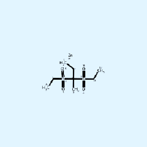 CCC(C)(S(=O)(=O)CC)S(=O)(=O)CC.[Zn]